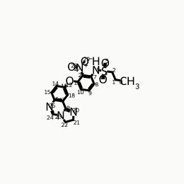 CCCS(=O)(=O)Nc1cccc(Oc2ccc3c(c2)C2=NCCN2C=N3)c1[N+](=O)[O-]